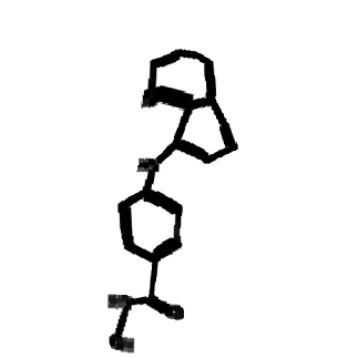 O=C(NO)c1ccc(Nc2cccc3cccnc23)cc1